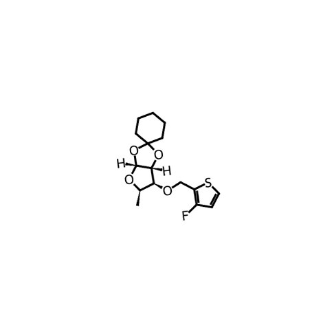 C[C@H]1O[C@@H]2OC3(CCCCC3)O[C@@H]2[C@H]1OCc1sccc1F